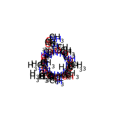 CC[C@H](C)[C@H]1C(=O)N[C@@H](CCc2ccc(C(=O)NC)c(OC)c2)C(=O)N[C@H](C(=O)N2CCCCC2)CC(=O)N(C)[C@H](CC(C)C)C(=O)N[C@@H](COC(C)(C)C)C(=O)N(C)[C@@H](CC(C)C)C(=O)N[C@@H]([C@@H](C)O)C(=O)N(C)[C@@H](Cc2ccccc2)C(=O)N(C)[C@@H](CC(C)C)C(=O)NCC(=O)N1C